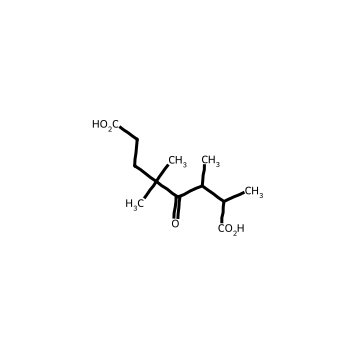 CC(C(=O)O)C(C)C(=O)C(C)(C)CCC(=O)O